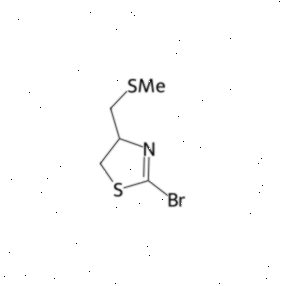 CSCC1CSC(Br)=N1